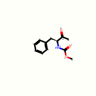 COC(=O)N[C@@H](Cc1ccccc1)C(C)=O